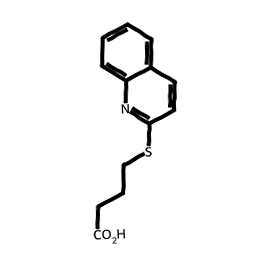 O=C(O)CCCSc1ccc2ccccc2n1